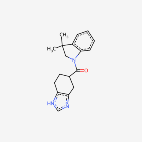 CC1(C)CN(C(=O)C2CCc3[nH]cnc3C2)c2ccccc21